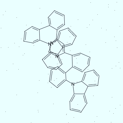 c1ccc(-c2ccccc2-n2c3ccccc3c3ccccc32)c(-c2cc(-c3ccccc3-c3ccccc3-n3c4ccccc4c4ccccc43)ncn2)c1